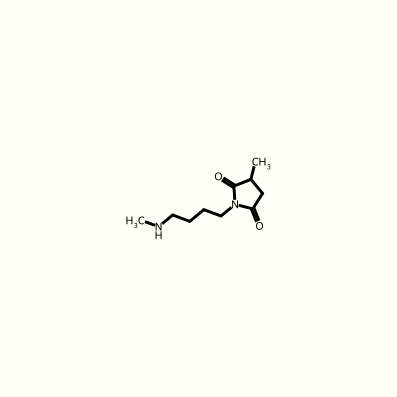 CNCCCCN1C(=O)CC(C)C1=O